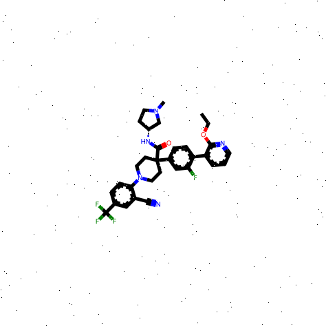 CCOc1ncccc1-c1ccc(C2(C(=O)N[C@@H]3CCN(C)C3)CCN(c3ccc(C(F)(F)F)cc3C#N)CC2)cc1F